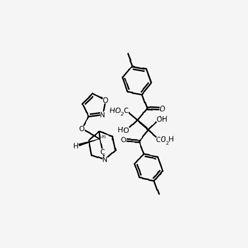 Cc1ccc(C(=O)C(O)(C(=O)O)C(O)(C(=O)O)C(=O)c2ccc(C)cc2)cc1.c1cc(O[C@H]2CN3CCC2CC3)no1